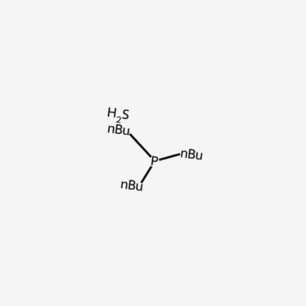 CCCCP(CCCC)CCCC.S